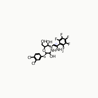 N/C(=C\N1NC(O)C(Sc2ccc(Cl)c(Cl)c2)OC(CO)C1O)c1c(F)c(F)c(F)c(F)c1F